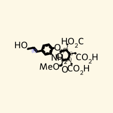 COC(=O)[C@H]1O[C@@H](Oc2ccc(/C=C/CO)cc2N)[C@H](CC(=O)O)[C@@H](CC(=O)O)[C@@H]1CC(=O)O